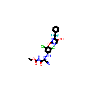 CCOC(=O)NC(=O)/C(C#N)=N/Nc1cc(Cl)c(Oc2ncc(O)c(C(F)(F)c3ccccc3)n2)c(Cl)c1